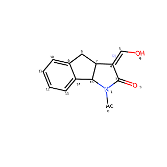 CC(=O)N1C(=O)/C(=C\O)C2Cc3ccccc3C21